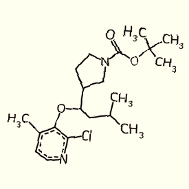 Cc1ccnc(Cl)c1OC(CC(C)C)C1CCN(C(=O)OC(C)(C)C)C1